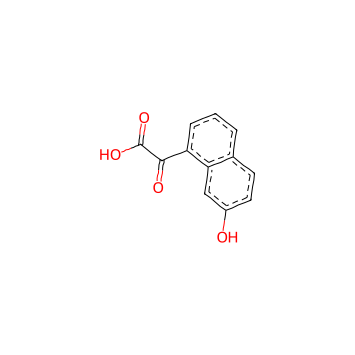 O=C(O)C(=O)c1cccc2ccc(O)cc12